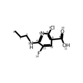 CCCNc1nc(Cl)c(C(=O)O)cc1F